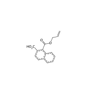 C=CCOC(=O)c1c(C(=O)O)ccc2ccccc12